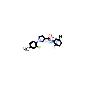 N#Cc1ccc(N2CCC(C(=O)N[C@@H]3C[C@@H]4CC[C@H]3N4C#N)C2)c(F)c1